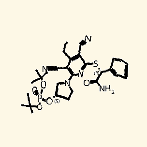 CCc1c(C#N)c(S[C@@H](C(N)=O)c2ccccc2)nc(N2CC[C@H](OP(=O)(OC(C)(C)C)OC(C)(C)C)C2)c1C#N